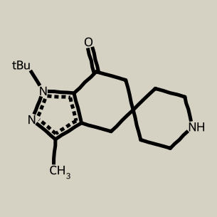 Cc1nn(C(C)(C)C)c2c1CC1(CCNCC1)CC2=O